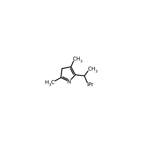 CC1=NC(C(C)C(C)C)=C(C)C1